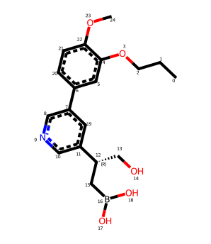 CCCOc1cc(-c2cncc([C@H](CO)CB(O)O)c2)ccc1OC